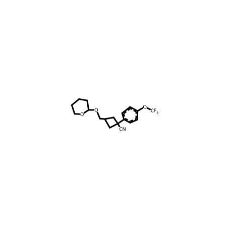 N#CC1(c2ccc(OC(F)(F)F)cc2)CC(COC2CCCCO2)C1